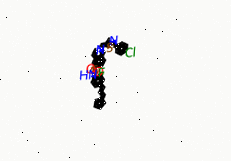 O=S(=O)(Nc1ccc(CCCC2CCCC2)cc1F)c1ccc2c(c1)CCN(Cc1cnc(-c3ccc(Cl)cc3)s1)C2